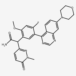 COc1cc(F)c(-c2ncnc3cc(N4CCOCC4)ccc23)cc1C(C(N)=O)c1ccc(=O)n(C)n1